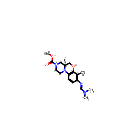 CN(C)/C=N/c1ccc2c(c1C#N)OC[C@H]1CN(C(=O)OC(C)(C)C)CCN21